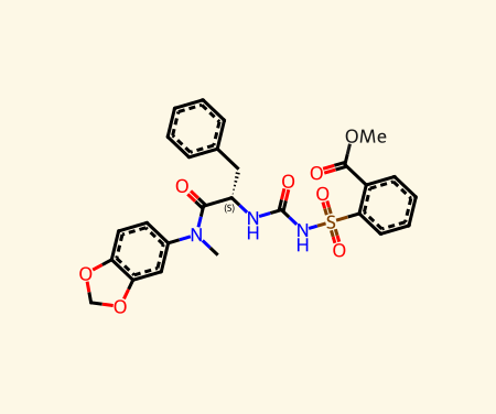 COC(=O)c1ccccc1S(=O)(=O)NC(=O)N[C@@H](Cc1ccccc1)C(=O)N(C)c1ccc2c(c1)OCO2